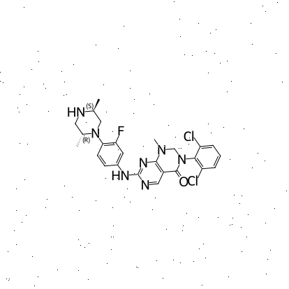 C[C@@H]1CN[C@@H](C)CN1c1ccc(Nc2ncc3c(n2)N(C)CN(c2c(Cl)cccc2Cl)C3=O)cc1F